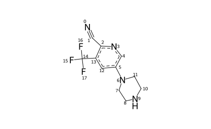 N#Cc1ncc(N2CCNCC2)cc1C(F)(F)F